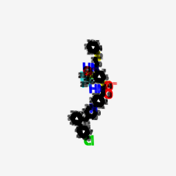 O=C(N[S+]([O-])c1ccc(NCCSc2ccccc2)c([S+]([O-])C(F)(F)F)c1)c1ccc(N2CCC(Cc3ccccc3-c3ccc(Cl)cc3)CC2)cc1